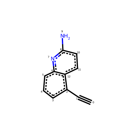 C#Cc1cccc2nc(N)ccc12